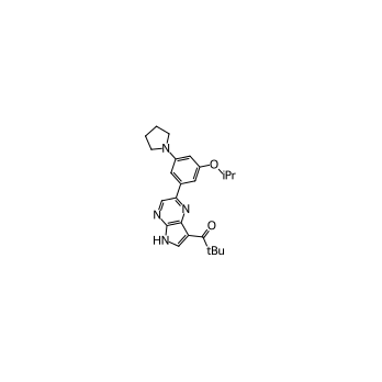 CC(C)Oc1cc(-c2cnc3[nH]cc(C(=O)C(C)(C)C)c3n2)cc(N2CCCC2)c1